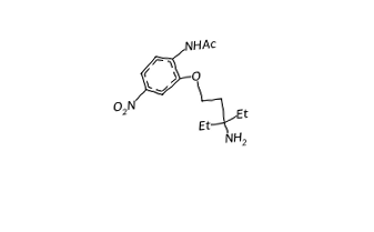 CCC(N)(CC)CCOc1cc([N+](=O)[O-])ccc1NC(C)=O